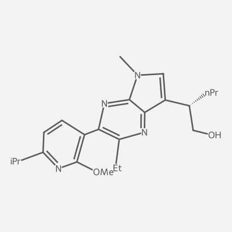 CCC[C@H](CO)c1cn(C)c2nc(-c3ccc(C(C)C)nc3OC)c(CC)nc12